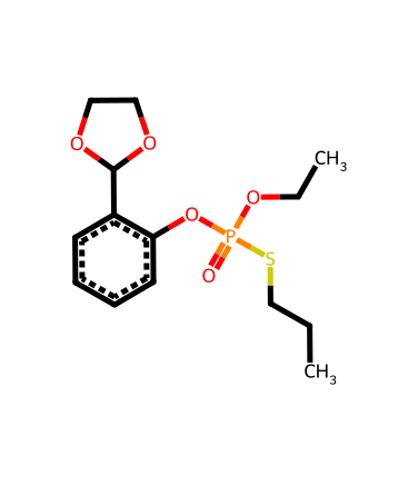 CCCSP(=O)(OCC)Oc1ccccc1C1OCCO1